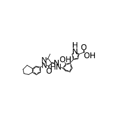 CC1=NN(c2ccc3c(c2)CCCC3)C(=O)C1=NNc1cccc(-c2c[nH]c(C(=O)O)c2)c1O